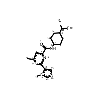 Cc1cc(C(=O)NC2CCC(C(F)F)CC2)nc(-c2cncn2C)n1